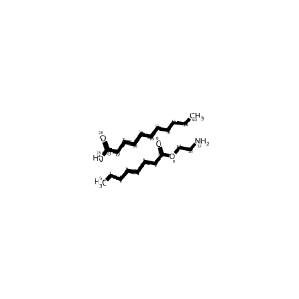 CCCCCCCC(=O)OCCN.CCCCCCCCCCC(=O)O